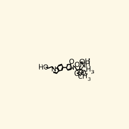 CC(CCn1ccc(-c2ccc3c(ccn3CCO)c2)cc1=O)(C(=O)NO)S(C)(=O)=O